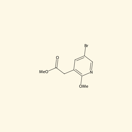 COC(=O)Cc1cc(Br)cnc1OC